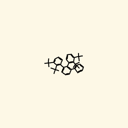 CC(C)(C)c1cccc(-c2cccc(-c3[c]cccc3)c2-c2cccc(C(C)(C)C)c2C(C)(C)C)c1C(C)(C)C